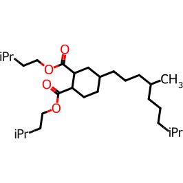 CC(C)CCCC(C)CCCC1CCC(C(=O)OCCC(C)C)C(C(=O)OCCC(C)C)C1